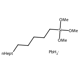 CCCCCCCCCCCC[Si](OC)(OC)OC.[PbH2]